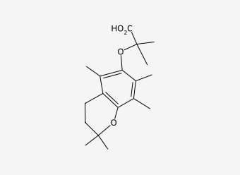 Cc1c(C)c2c(c(C)c1OC(C)(C)C(=O)O)CCC(C)(C)O2